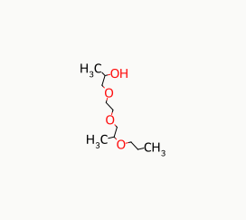 CCCOC(C)COCCOCC(C)O